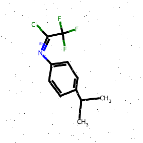 CC(C)c1ccc(/N=C(/Cl)C(F)(F)F)cc1